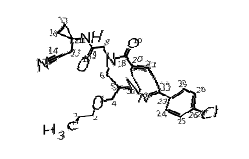 CCCOCC1CN(CC(=O)NC2(CC#N)CC2)C(=O)c2cc(-c3ccc(Cl)cc3)nn21